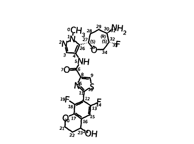 Cn1ncc(NC(=O)c2csc(-c3c(F)cc4c(c3F)OCCC4O)n2)c1[C@@H]1CC[C@@H](N)[C@H](F)CO1